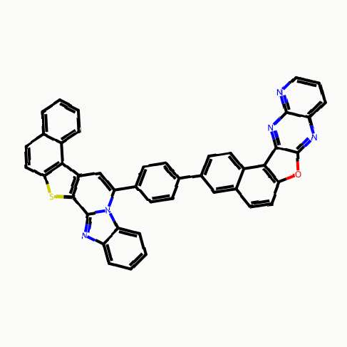 c1ccc2c(c1)ccc1sc3c(cc(-c4ccc(-c5ccc6c(ccc7oc8nc9cccnc9nc8c76)c5)cc4)n4c5ccccc5nc34)c12